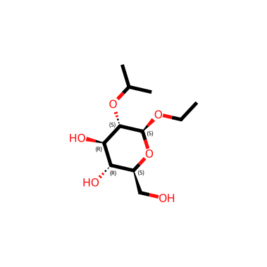 CCO[C@H]1O[C@@H](CO)[C@H](O)[C@@H](O)[C@@H]1OC(C)C